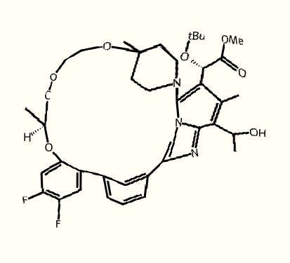 COC(=O)[C@@H](OC(C)(C)C)c1c(C)c(C(C)O)c2nc3cn2c1N1CCC(C)(CC1)OCCOC[C@H](C)Oc1cc(F)c(F)cc1-c1cccc-3c1